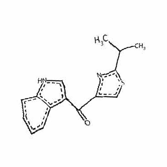 CC(C)c1nc(C(=O)c2c[nH]c3ccccc23)cs1